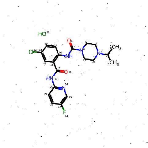 CC(C)N1CCN(C(=O)Nc2ccc(Cl)cc2C(=O)Nc2ccc(F)cn2)CC1.Cl